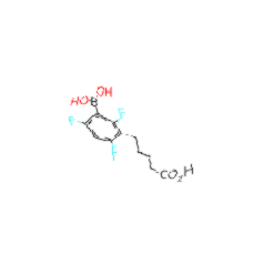 O=C(O)CCCCc1c(F)cc(F)c(B(O)O)c1F